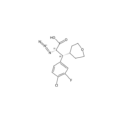 [N-]=[N+]=N[C@H](C(=O)O)[C@@H](c1ccc(Cl)c(F)c1)C1CCOCC1